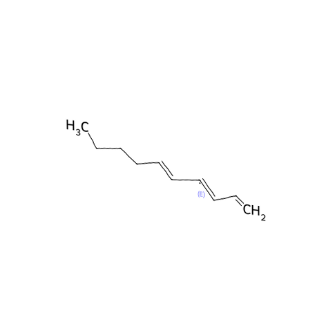 C=C/C=[C]/C=CCCCC